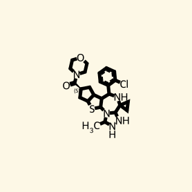 CC1NNC2N1C1SC3C[C@@H](C(=O)N4CCOCC4)CC3C1C(c1ccccc1Cl)NC21CC1